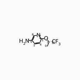 C[C@H](Oc1ccc(N)cn1)C(F)(F)F